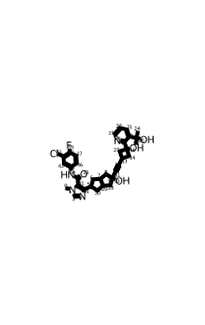 Cn1cnc(C2CC3CC(O)(C#CC4CC(O)(c5ncccc5C(C)(C)O)C4)CC3C2)c1C(=O)Nc1ccc(F)c(Cl)c1